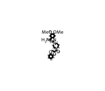 COc1cc2nc(N3CCCN(C(=O)C4COc5ccccc5O4)CC3)nc(N)c2cc1OC